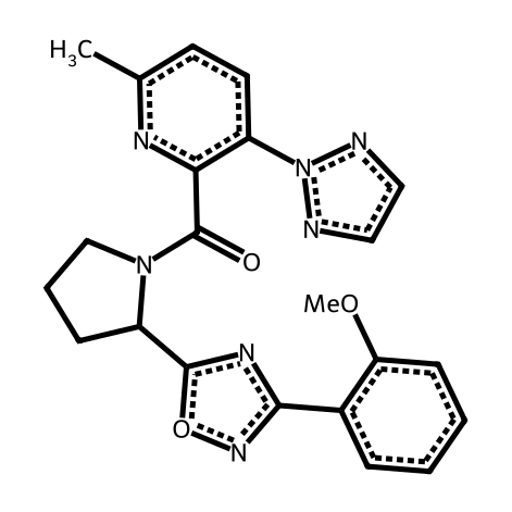 COc1ccccc1-c1noc(C2CCCN2C(=O)c2nc(C)ccc2-n2nccn2)n1